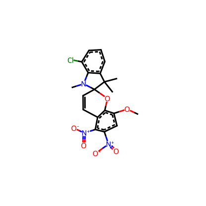 COc1cc([N+](=O)[O-])c([N+](=O)[O-])c2c1OC1(C=C2)N(C)c2c(Cl)cccc2C1(C)C